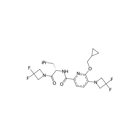 CC(C)C[C@H](NC(=O)c1ccc(N2CC(F)(F)C2)c(OCC2CC2)n1)C(=O)N1CC(F)(F)C1